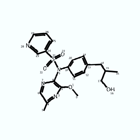 COc1nc(C)cnc1N(c1ccc(CC(C)CO)cc1)S(=O)(=O)c1cccnc1